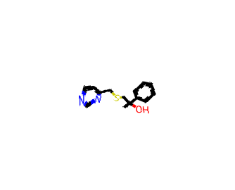 CC(O)(CSCc1ccncn1)c1ccccc1